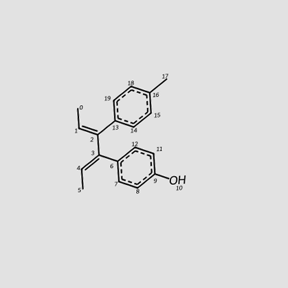 C/C=C(/C(=C/C)c1ccc(O)cc1)c1ccc(C)cc1